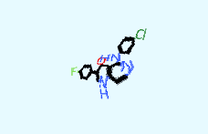 O=c1c(-c2ccc(F)cc2)c[nH]c2ccnc(Nc3ccc(Cl)cc3)c12